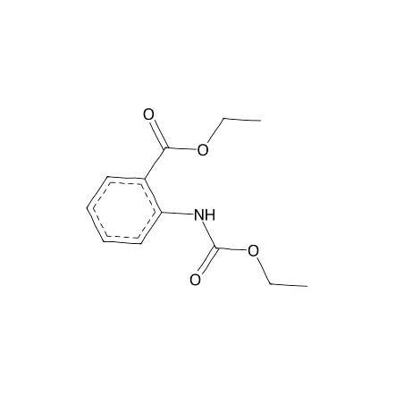 CCOC(=O)Nc1ccccc1C(=O)OCC